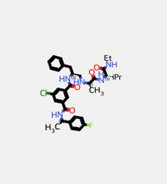 CCNC(=O)[C@@H](NC(=O)[C@H](C)NC[C@H](Cc1ccccc1)NC(=O)c1cc(Cl)cc(C(=O)N[C@H](C)c2ccc(F)cc2)c1)C(C)C